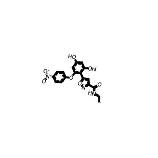 [CH2]CNC(=O)c1cc(-c2c(O)cc(O)cc2Oc2ccc([N+](=O)[O-])cc2)on1